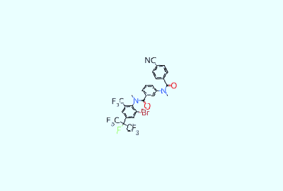 CN(C(=O)c1ccc(C#N)cc1)c1cccc(C(=O)N(C)c2c(Br)cc(C(F)(C(F)(F)F)C(F)(F)F)cc2C(F)(F)F)c1